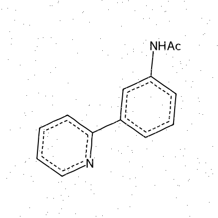 CC(=O)Nc1cccc(-c2ccccn2)c1